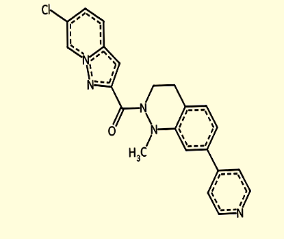 CN1c2cc(-c3ccncc3)ccc2CCN1C(=O)c1cc2ccc(Cl)cn2n1